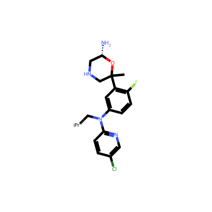 CC(C)CN(c1ccc(F)c(C2(C)CNC[C@H](N)O2)c1)c1ccc(Cl)cn1